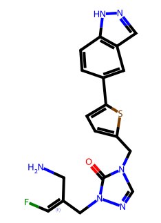 NC/C(=C\F)Cn1ncn(Cc2ccc(-c3ccc4[nH]ncc4c3)s2)c1=O